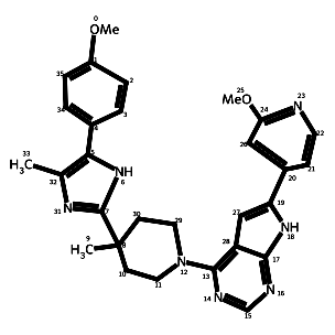 COc1ccc(-c2[nH]c(C3(C)CCN(c4ncnc5[nH]c(-c6ccnc(OC)c6)cc45)CC3)nc2C)cc1